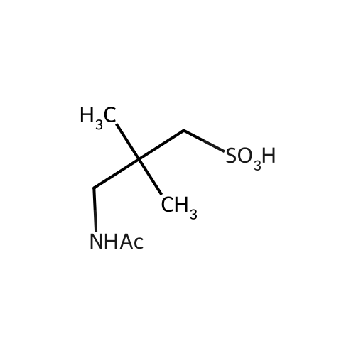 CC(=O)NCC(C)(C)CS(=O)(=O)O